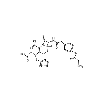 NCC(=O)Nc1ccc(CC(=O)NC2C(=O)N3C(C(=O)O)=C(C(CC(=O)O)Sc4nnn[nH]4)CS[C@@H]23)cc1